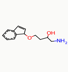 NCC(O)CCOC1C=Cc2ccccc21